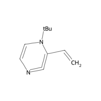 C=CC1=C=NC=CN1C(C)(C)C